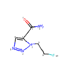 NC(=O)c1cnnn1CCF